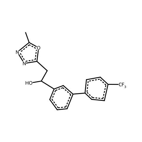 Cc1nnc(CC(O)c2cccc(-c3ccc(C(F)(F)F)cc3)c2)o1